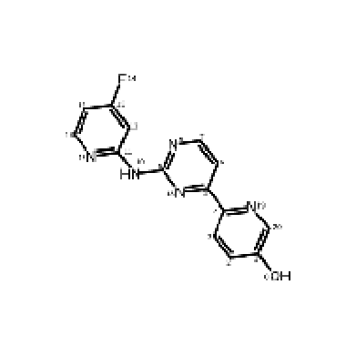 Oc1ccc(-c2ccnc(Nc3cc(F)ccn3)n2)nc1